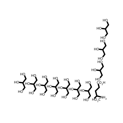 NC(CCC(=O)O)C(=O)O.OCC(O)CO.OCC(O)CO.OCC(O)CO.OCC(O)CO.OCC(O)CO.OCC(O)CO.OCC(O)CO.OCC(O)CO.OCC(O)CO.OCC(O)CO